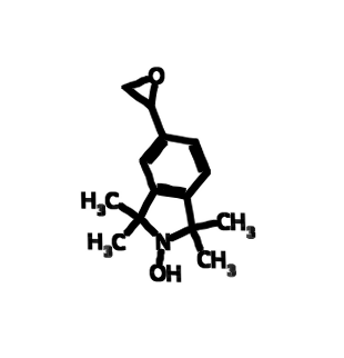 CC1(C)c2ccc(C3CO3)cc2C(C)(C)N1O